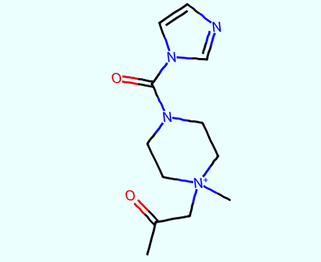 CC(=O)C[N+]1(C)CCN(C(=O)n2ccnc2)CC1